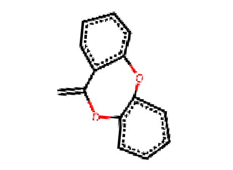 C=C1Oc2ccccc2Oc2ccccc21